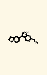 CC(C)Cc1ncc2c(-c3ccn4nccc4c3)c[nH]c2n1